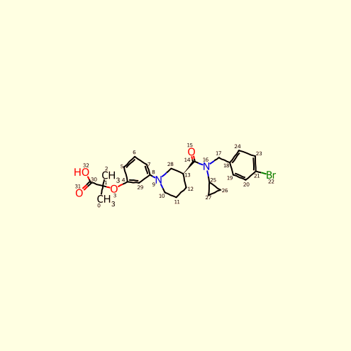 CC(C)(Oc1cccc(N2CCC[C@H](C(=O)N(Cc3ccc(Br)cc3)C3CC3)C2)c1)C(=O)O